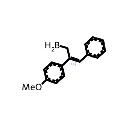 BC/C(=C\c1ccccc1)c1ccc(OC)cc1